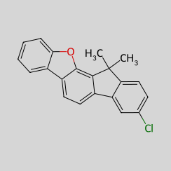 CC1(C)c2ccc(Cl)cc2-c2ccc3c(oc4ccccc43)c21